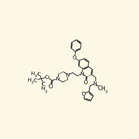 CN(Cc1ccco1)Cc1cc2ccc(Oc3ccccc3)cc2n(CCN2CCN(C(=O)OC(C)(C)C)CC2)c1=O